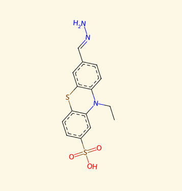 CCN1c2ccc(/C=N/N)cc2Sc2ccc(S(=O)(=O)O)cc21